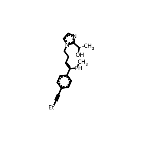 CCC#Cc1ccc(/C(=C/CCn2ccnc2[C@H](C)O)PC)cc1